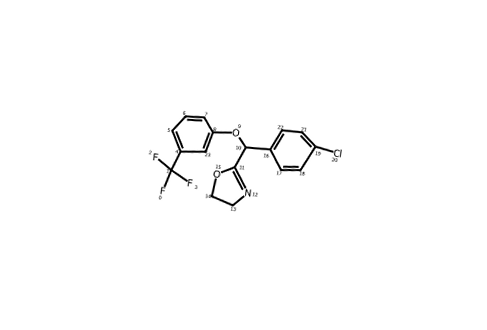 FC(F)(F)c1cccc(OC(C2=NCCO2)c2ccc(Cl)cc2)c1